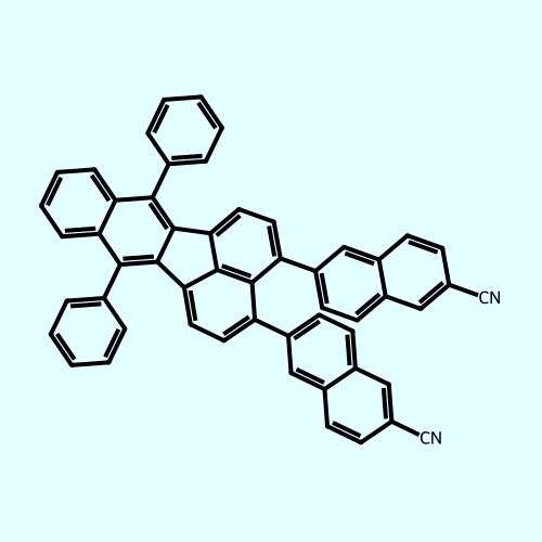 N#Cc1ccc2cc(-c3ccc4c5c(ccc(-c6ccc7cc(C#N)ccc7c6)c35)-c3c-4c(-c4ccccc4)c4ccccc4c3-c3ccccc3)ccc2c1